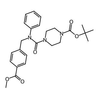 COC(=O)c1ccc(CN(C(=O)N2CCN(C(=O)OC(C)(C)C)CC2)c2ccccc2)cc1